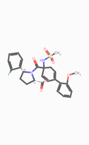 COc1ccccc1C1=CCC(NS(C)(=O)=O)(C(=O)N2[C@@H](c3ccccc3F)CC[C@H]2C(=O)O)C=C1